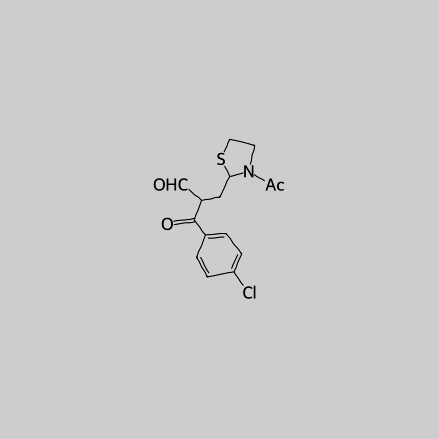 CC(=O)N1CCSC1CC(C=O)C(=O)c1ccc(Cl)cc1